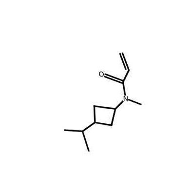 C=CC(=O)N(C)C1CC(C(C)C)C1